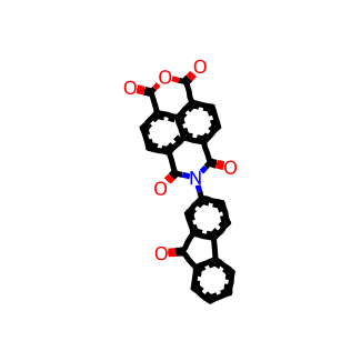 O=C1c2ccccc2-c2ccc(N3C(=O)c4ccc5c6c(ccc(c46)C3=O)C(=O)OC5=O)cc21